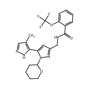 Cc1cn[nH]c1-c1cc(CNC(=O)c2ccccc2OC(F)(F)F)nn1C1CCCCO1